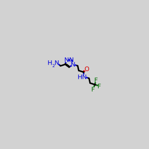 NCc1cn(CCC(=O)NCCC(F)(F)F)nn1